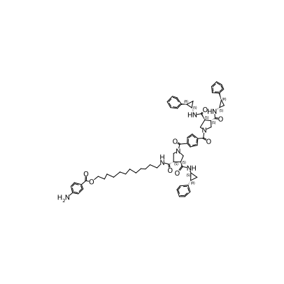 Nc1ccc(C(=O)OCCCCCCCCCCCCNC(=O)[C@@H]2CN(C(=O)c3ccc(C(=O)N4C[C@@H](C(=O)N[C@H]5C[C@@H]5c5ccccc5)[C@H](C(=O)N[C@H]5C[C@@H]5c5ccccc5)C4)cc3)C[C@H]2C(=O)N[C@H]2C[C@@H]2c2ccccc2)cc1